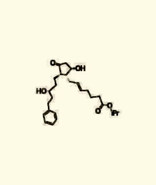 CC(C)OC(=O)CCCC=CC[C@H]1[C@H](O)CC(=O)[C@@H]1CC[C@@H](O)CCc1ccccc1